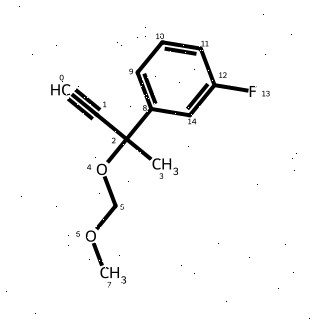 C#CC(C)(OCOC)c1cccc(F)c1